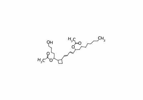 CCCCCCCCC(/C=C/C=C/C1CCC1C(CCCCO)OC(C)=O)OC(C)=O